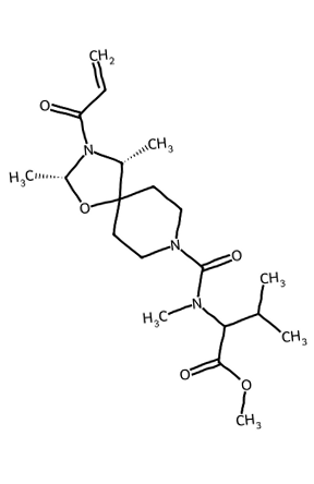 C=CC(=O)N1[C@@H](C)OC2(CCN(C(=O)N(C)C(C(=O)OC)C(C)C)CC2)[C@H]1C